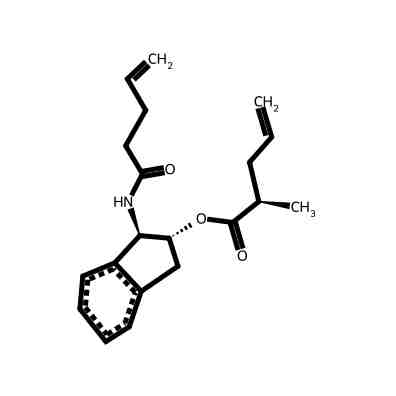 C=CCCC(=O)N[C@@H]1c2ccccc2C[C@H]1OC(=O)[C@H](C)CC=C